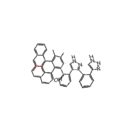 Cc1[c]c(-c2ccccc2-c2c[nH]nc2-c2ccccc2-c2c[nH]nn2)c(-c2c(O)ccc3ccccc23)c(-c2cccc3ccccc23)c1C